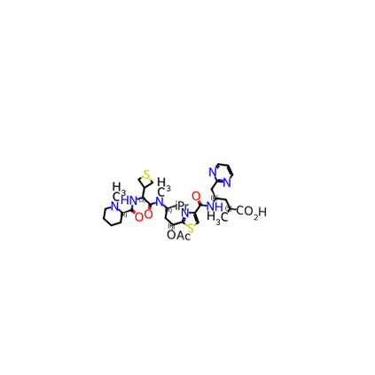 CC(=O)O[C@H](C[C@H](C(C)C)N(C)C(=O)[C@@H](NC(=O)[C@H]1CCCCN1C)C1CSC1)c1nc(C(=O)N[C@@H](Cc2ncccn2)C[C@H](C)C(=O)O)cs1